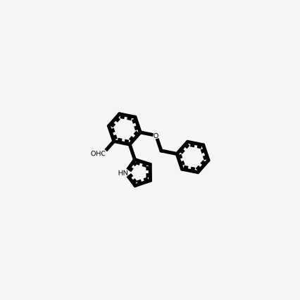 O=Cc1cccc(OCc2ccccc2)c1-c1ccc[nH]1